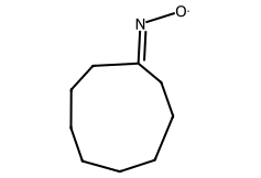 [O]N=C1CCCCCCCC1